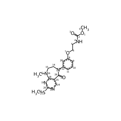 COC(=O)NCCOc1cccc(N2CCN(C)c3nc(SC)ncc3C2=O)c1